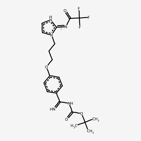 CC(C)(C)OC(=O)NC(=N)c1ccc(OCCCn2cc[nH]/c2=N\C(=O)C(F)(F)F)cc1